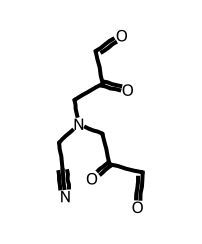 N#CCN(CC(=O)C=O)CC(=O)C=O